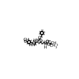 COc1ccc(-c2nc([C@H](CCCCNC(=O)OC(C)(C)C)NC(=O)OCc3ccccc3)c[nH]2)cc1